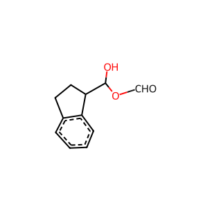 O=COC(O)C1CCc2ccccc21